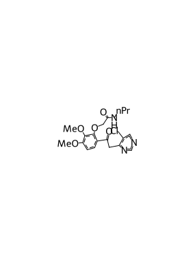 CCCNC(=O)COc1c(C(=O)Cc2ncncc2Cl)ccc(OC)c1OC